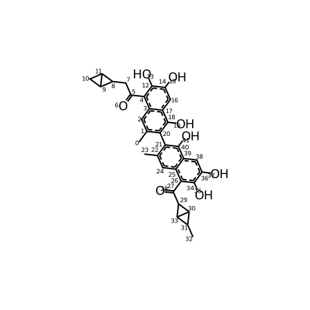 Cc1cc2c(C(=O)CC3C4CC34)c(O)c(O)cc2c(O)c1-c1c(C)cc2c(C(=O)C3C4C(C)C34)c(O)c(O)cc2c1O